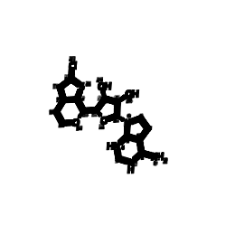 NC1NCNC2C1CCN2[C@@H]1O[C@H]([C@@H]2OCCC3CC(Cl)SC32)[C@@H](O)[C@H]1O